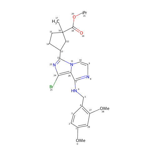 COc1ccc(CNc2nccn3c(C4CCC(C)(C(=O)OC(C)C)C4)nc(Br)c23)c(OC)c1